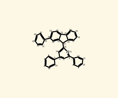 c1ccc(-c2cc(-c3ccccc3)nc(C3c4ccccc4-c4ccc(-c5ccccc5)cc43)c2)cc1